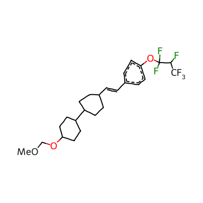 COCOC1CCC(C2CCC(C=Cc3ccc(OC(F)(F)C(F)C(F)(F)F)cc3)CC2)CC1